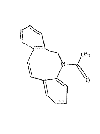 CC(=O)N1Cc2ccncc2C=Cc2ccccc21